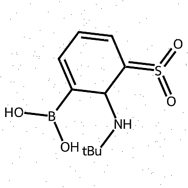 CC(C)(C)NC1C(B(O)O)=CC=CC1=S(=O)=O